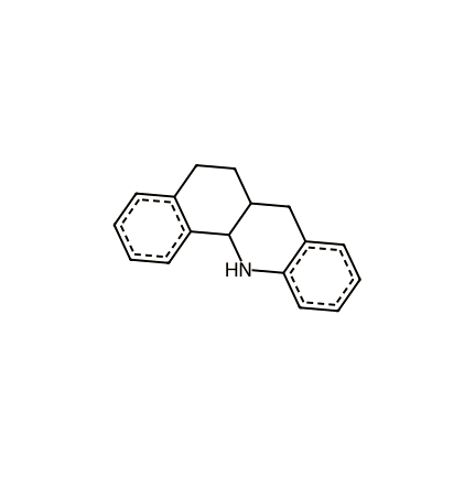 c1ccc2c(c1)CC1CCc3ccccc3C1N2